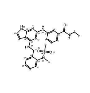 CCNC(=O)c1cccc(Nc2nc(NCc3ccccc3N(C)S(C)(=O)=O)c3cc[nH]c3n2)c1